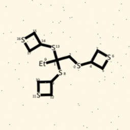 CCC(CSC1CSC1)(SC1CSC1)SC1CSC1